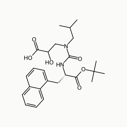 CC(C)CN(CC(O)C(=O)O)C(=O)N[C@@H](Cc1cccc2ccccc12)C(=O)OC(C)(C)C